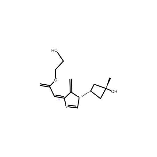 C=C(/C=c1/ncn([C@H]2C[C@@](C)(O)C2)c1=C)OCCO